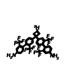 [2H]C1CC(c2ccc(-c3ccc(N)cc3C(F)(F)F)c(C(F)(F)F)c2)(c2ccc(-c3ccc(N)cc3C(F)(F)F)c(C(F)(F)F)c2)C1